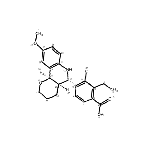 CCc1c(C(=O)O)ccc([C@H]2Nc3ccc(OC)cc3[C@@H]3OCCC[C@H]23)c1Cl